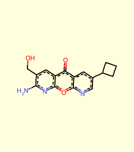 Nc1nc2oc3ncc(C4CCC4)cc3c(=O)c2cc1CO